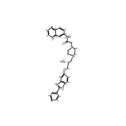 O=C(CN1CCN(C[C@@H](O)COc2ccc3oc(-c4ccccc4)nc3c2)CC1)Nc1ccc2cccnc2c1